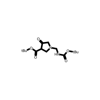 CC(C)(C)OC(=O)NCN1CC(=O)C(C(=O)OC(C)(C)C)C1